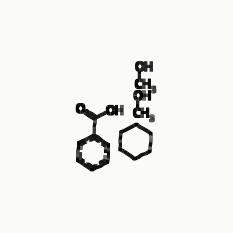 C1CCCCC1.CO.CO.O=C(O)c1ccccc1